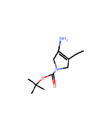 CC1=C(N)CN(C(=O)OC(C)(C)C)C1